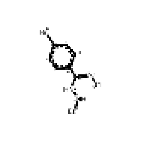 CCNN/C(=N\Cl)c1ccc(Br)cc1